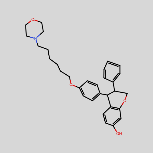 Oc1ccc2c(c1)OCC(c1ccccc1)C2c1ccc(OCCCCCCN2CCOCC2)cc1